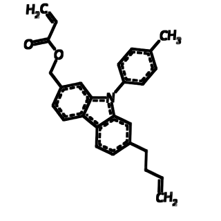 C=CCCc1ccc2c3ccc(COC(=O)C=C)cc3n(-c3ccc(C)cc3)c2c1